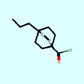 CCCC12CCC(C(=O)Cl)(CC1)CC2